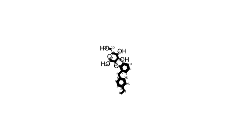 CCc1ccc(Cc2ccccc2O[C@@H]2[C@@H](O)[C@H](O)[C@@H](CO)O[C@H]2O)cc1